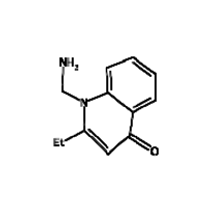 CCc1cc(=O)c2ccccc2n1CN